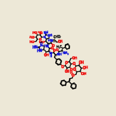 CC(c1ccccc1)[C@H](N)C(=O)N[C@@H](Cc1ccc(OC2OC(CO)C(OC3OC(COCC=C(c4ccccc4)c4ccccc4)C(O)C(O)C3O)C(O)C2O)cc1)C(=O)N[C@H](C(=O)N[C@H](C(=O)N[C@H]([C]=O)CO)C(O)C1CNC(=N)N1C1OC(CO)C(O)C(O)C1O)C(O)C1CNC(=N)N1